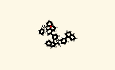 O=P(c1ccccc1)(c1ccccc1)c1ncc(-c2ccc3c(c2)c2c4ccccc4ccc2c2nc4ccc(-c5cccc6ccccc56)cc4n32)c2ccccc12